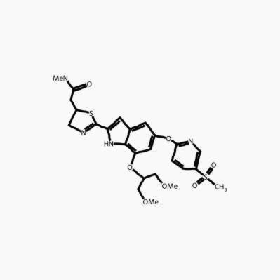 CNC(=O)CC1CN=C(c2cc3cc(Oc4ccc(S(C)(=O)=O)cn4)cc(OC(COC)COC)c3[nH]2)S1